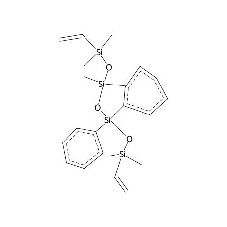 C=C[Si](C)(C)O[Si](C)(C)O[Si](O[Si](C)(C)C=C)(c1ccccc1)c1ccccc1